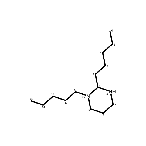 CCCCCC1NCCCN1CCCCC